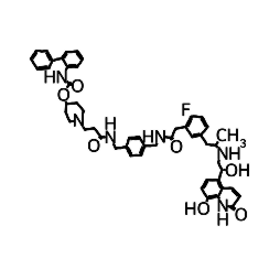 CC(Cc1ccc(F)c(CC(=O)NCc2ccc(CNC(=O)CCN3CCC(OC(=O)Nc4ccccc4-c4ccccc4)CC3)cc2)c1)NC[C@@H](O)c1ccc(O)c2[nH]c(=O)ccc12